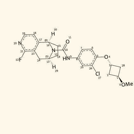 CO[C@H]1C[C@H](Oc2ccc(NC(=O)N3[C@H]4CC[C@@H]3c3ccnc(F)c3C4)cc2Cl)C1